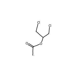 [CH2]C(=O)OC(CCl)CCl